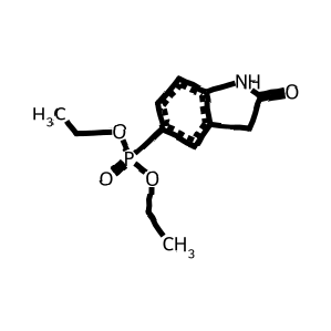 CCOP(=O)(OCC)c1ccc2c(c1)CC(=O)N2